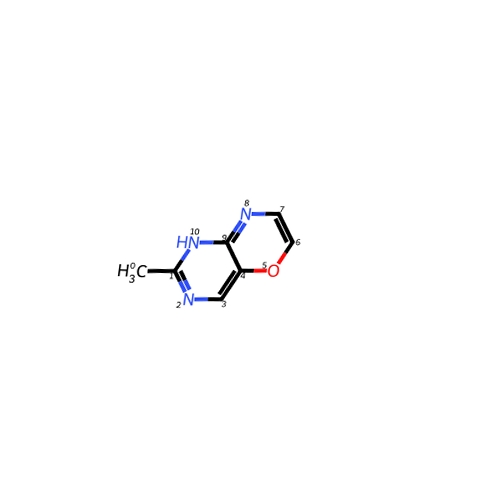 CC1=NC=C2OC=CN=C2N1